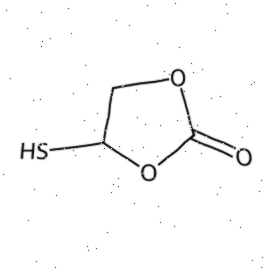 O=C1OCC(S)O1